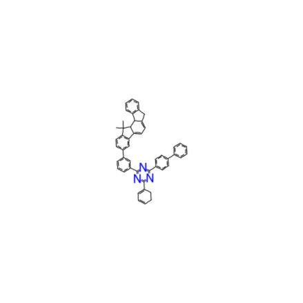 CC1(C)c2ccc(-c3cccc(-c4nc(C5=CC=CCC5)nc(-c5ccc(-c6ccccc6)cc5)n4)c3)cc2C2=CC=C3Cc4ccccc4C3C21